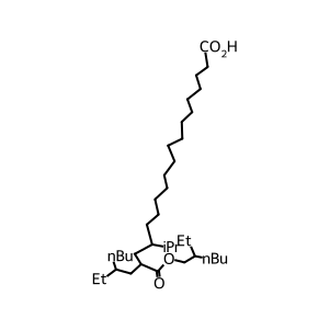 CCCCC(CC)COC(=O)C(CC(CC)CCCC)CC(CCCCCCCCCCCCCCC(=O)O)C(C)C